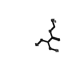 CCOC(OCC)C(=O)OCC(F)(F)F